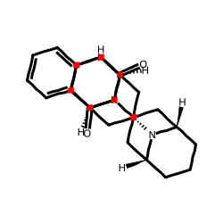 O=c1[nH]c2ccccc2c(=O)n1C1C[C@H]2CCC[C@@H](C1)N2[C@H]1C[C@@H]2CCC[C@@H](C2)C1